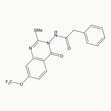 CSc1nc2cc(OC(F)(F)F)ccc2c(=O)n1NC(=O)Cc1ccccc1